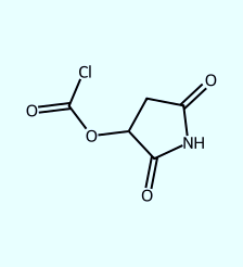 O=C1CC(OC(=O)Cl)C(=O)N1